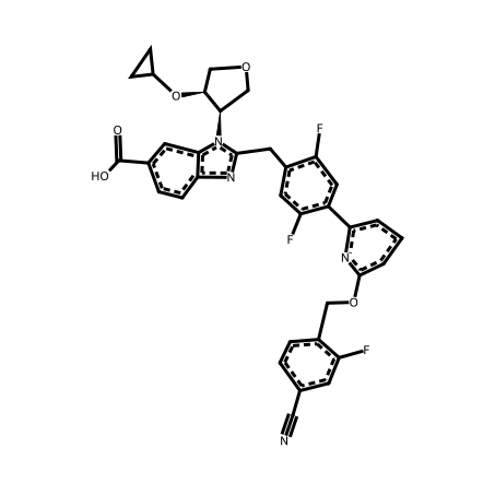 N#Cc1ccc(COc2cccc(-c3cc(F)c(Cc4nc5ccc(C(=O)O)cc5n4[C@@H]4COC[C@@H]4OC4CC4)cc3F)n2)c(F)c1